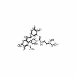 CC(C)(C)C[C@H]1N[C@@H](C(=O)NCC[C@H](O)CO)[C@H](c2ccc(F)c(Cl)c2)[C@@]12C(=O)Nc1cc(Cl)c(F)cc12